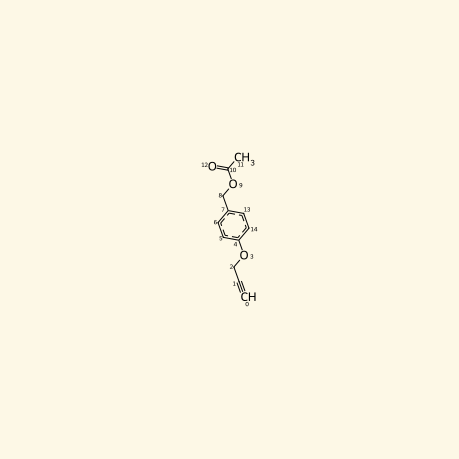 C#CCOc1ccc(COC(C)=O)cc1